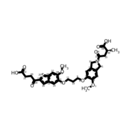 COc1cc2c(cc1OCCCOc1cc3cc(C(=O)CCC(=O)O)sc3cc1OC)CN(C(=O)C[C@H](C)C(=O)O)C2